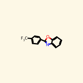 FC(F)(F)c1ccc(-c2nc3ccccc3o2)cc1